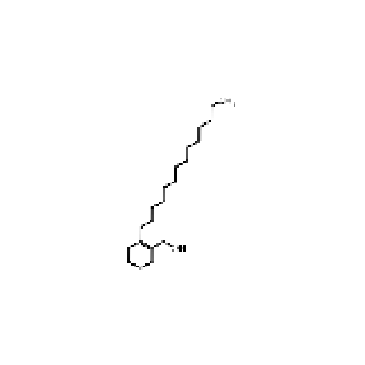 CCCCCCCCCCCCCCC1=C(CO)CCCC1